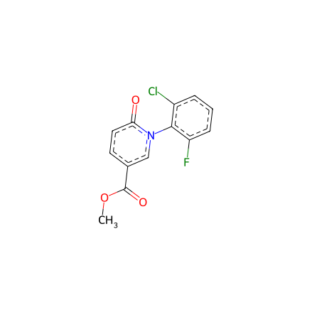 COC(=O)c1ccc(=O)n(-c2c(F)cccc2Cl)c1